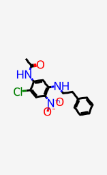 CC(=O)Nc1cc(NCCc2ccccc2)c([N+](=O)[O-])cc1Cl